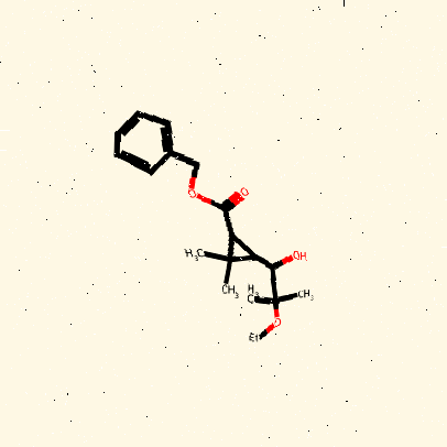 CCOC(C)(C)C(O)C1C(C(=O)OCc2ccccc2)C1(C)C